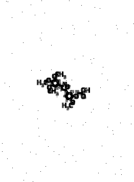 COc1ccc(C2CC(c3cc(OC)c(OC)c(OC)c3)=NO2)cc1OCC(=O)O